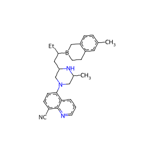 CCC(CC1CN(c2ccc(C#N)c3ncccc23)CC(C)N1)B1CCc2cc(C)ccc2C1